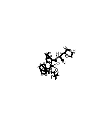 CC1(C)C2CN(C(=O)C(NC(=O)C(F)(F)F)C34CC5CC(CC(C5)C3)C4)C(C(=O)NC(C#N)CC3OCCNC3=O)C21